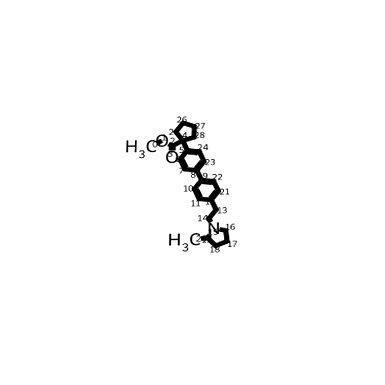 COC(=O)C1(c2ccc(-c3ccc(CCN4CCCC4C)cc3)cc2)CCCC1